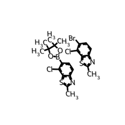 Cc1nc2ccc(B3OC(C)(C)C(C)(C)O3)c(Cl)c2s1.Cc1nc2ccc(Br)c(Cl)c2s1